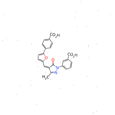 CC1=NN(c2cccc(C(=O)O)c2)C(=O)/C1=C\c1ccc(-c2ccc(C(=O)O)cc2)o1